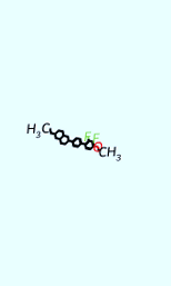 CCCC1CCC2CC(c3ccc(-c4ccc(OCC)c(F)c4F)cc3)CCC2C1